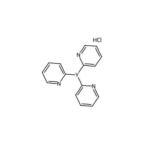 Cl.c1cc[c]([Y]([c]2ccccn2)[c]2ccccn2)nc1